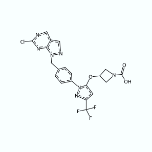 O=C(O)N1CC(Oc2cc(C(F)(F)F)nn2-c2ccc(Cn3ncc4cnc(Cl)nc43)cc2)C1